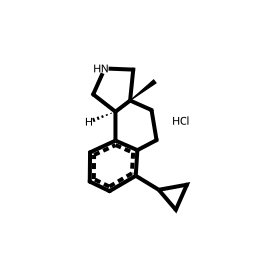 C[C@@]12CCc3c(C4CC4)cccc3[C@H]1CNC2.Cl